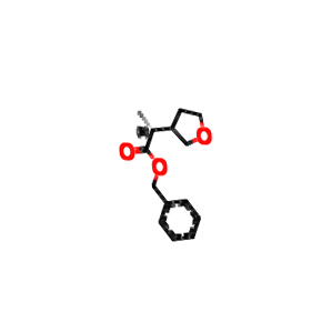 C[C@@H](C(=O)OCc1ccccc1)C1CCOC1